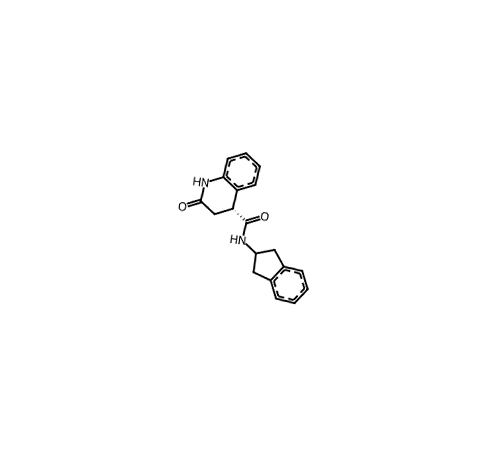 O=C1C[C@@H](C(=O)NC2Cc3ccccc3C2)c2ccccc2N1